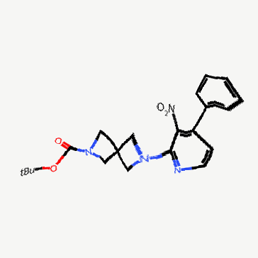 CC(C)(C)OC(=O)N1CC2(C1)CN(c1nccc(-c3ccccc3)c1[N+](=O)[O-])C2